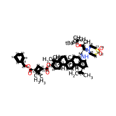 C=C(C)[C@@H]1CC[C@]2(NC[C@H]([C@@H](C)O[Si](C)(C)C(C)(C)C)N3CCS(=O)(=O)CC3)CC[C@]3(C)[C@H](CC[C@@H]4[C@@]5(C)CC[C@H](OC(=O)[C@H]6C[C@@H](C(=O)OCc7ccccc7)C6(C)C)C(C)(C)[C@@H]5CC[C@]43C)[C@@H]12